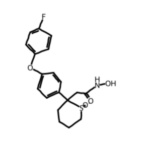 O=C(CC1(c2ccc(Oc3ccc(F)cc3)cc2)CCCC[S+]1[O-])NO